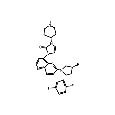 O=c1n(-c2ccnc3ccc(N4C[C@@H](F)C[C@@H]4c4cc(F)ccc4F)nc23)ccn1C1CCNCC1